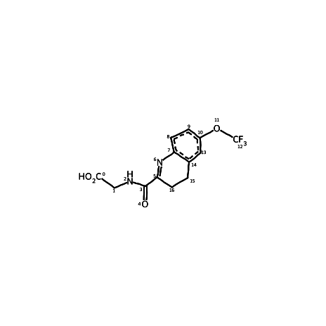 O=C(O)CNC(=O)C1=Nc2ccc(OC(F)(F)F)cc2CC1